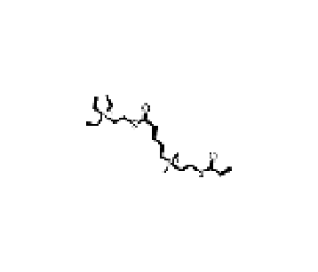 C=CC(=O)SCC[N+](C)(C)CC/C=C/C(=O)SCC[N+](CC)(CC)CC